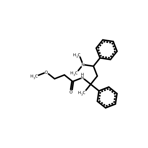 COCCC(=O)NC(C)(CC(c1ccccc1)N(C)C)c1ccccc1